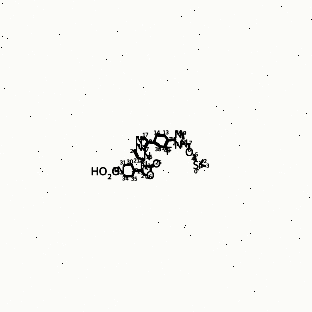 C[Si](C)(C)CCOCn1cnc(-c2ccc(-c3cnn4ccc(N5C(=O)OCC5C5CCN(C(=O)O)CC5)nc34)cc2F)n1